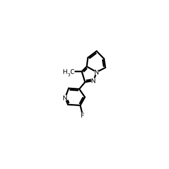 Cc1c(-c2cncc(F)c2)nn2ccccc12